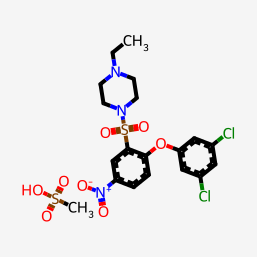 CCN1CCN(S(=O)(=O)c2cc([N+](=O)[O-])ccc2Oc2cc(Cl)cc(Cl)c2)CC1.CS(=O)(=O)O